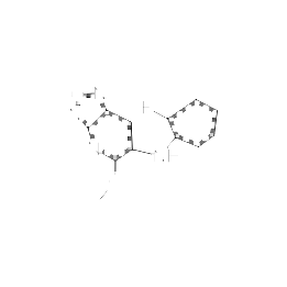 COc1nc2nonc2cc1Nc1ccccc1F